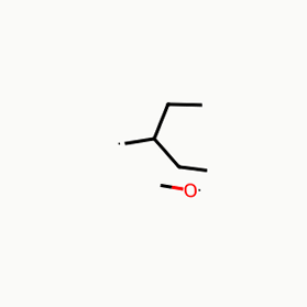 C[O].[CH2]C(CC)CC